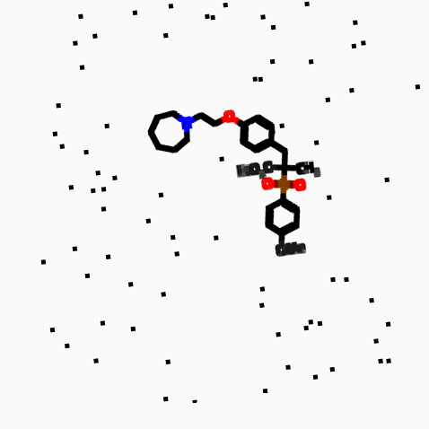 CCOC(=O)C(C)(Cc1ccc(OCCN2CCCCCC2)cc1)S(=O)(=O)c1ccc(OC)cc1